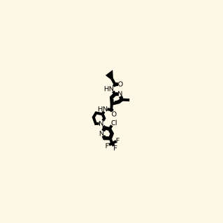 Cc1cc(C(=O)NC2CCCN(c3ncc(C(F)(F)F)cc3Cl)C2)cc(NC(=O)C2CC2)n1